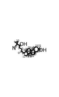 C[C@H](CC[C@H](O)C1(C#N)CC1)[C@H]1CC[C@H]2[C@@H]3CC=C4C[C@@](C)(O)CC[C@]4(C)[C@H]3CC[C@]12C